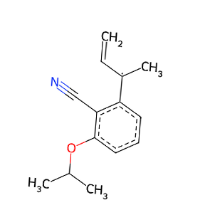 C=C[C](C)c1cccc(OC(C)C)c1C#N